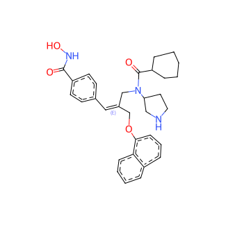 O=C(NO)c1ccc(/C=C(/COc2cccc3ccccc23)CN(C(=O)C2CCCCC2)C2CCNC2)cc1